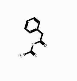 NC(=O)OC(=O)[CH]c1ccccc1